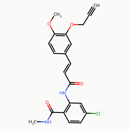 C#CCOc1cc(/C=C/C(=O)Nc2cc(Cl)ccc2C(=O)NC)ccc1OC